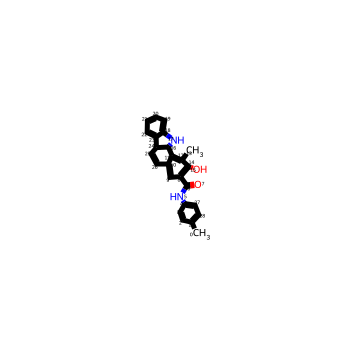 Cc1ccc(NC(=O)c2cc3c(c(C)c2O)C2Nc4ccccc4C2C=C3)cc1